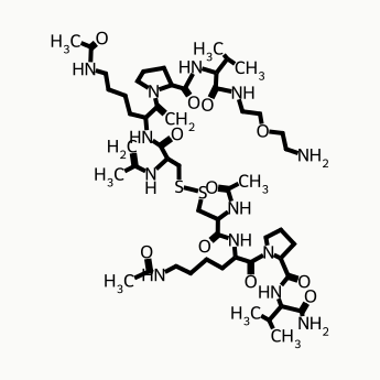 C=C(C)NC(CSSCC(NC(C)=O)C(=O)NC(CCCCNC(C)=O)C(=O)N1CCCC1C(=O)NC(C(N)=O)C(C)C)C(=O)NC(CCCCNC(C)=O)C(=C)N1CCCC1C(=O)NC(C(=O)NCCOCCN)C(C)C